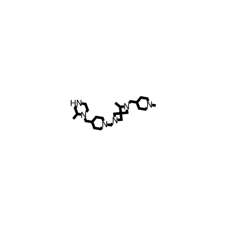 CC1CNCCN1CC1CCN(CN2CC3(C2)CN(CC2CCN(C)CC2)C3C)CC1